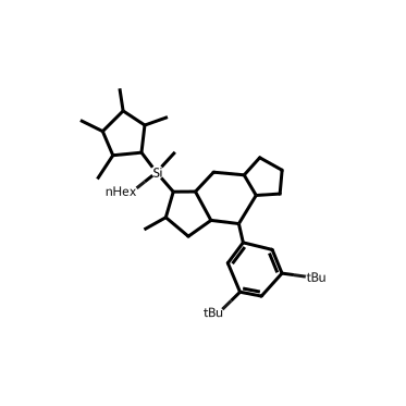 CCCCCC[Si](C)(C1C(C)C(C)C(C)C1C)C1C(C)CC2C1CC1CCCC1C2c1cc(C(C)(C)C)cc(C(C)(C)C)c1